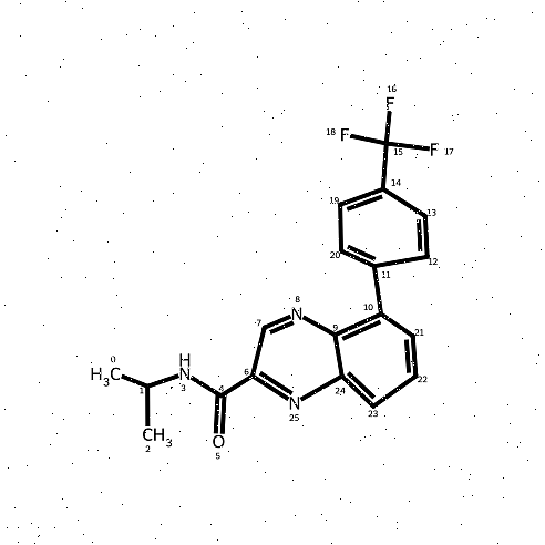 CC(C)NC(=O)c1cnc2c(-c3ccc(C(F)(F)F)cc3)cccc2n1